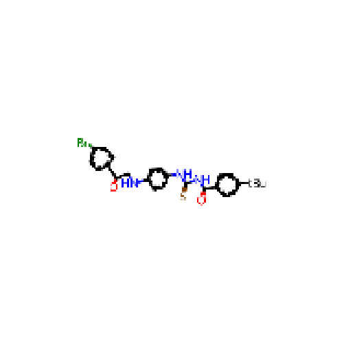 CC(C)(C)c1ccc(C(=O)NC(=S)Nc2ccc(NCC(=O)c3ccc(Br)cc3)cc2)cc1